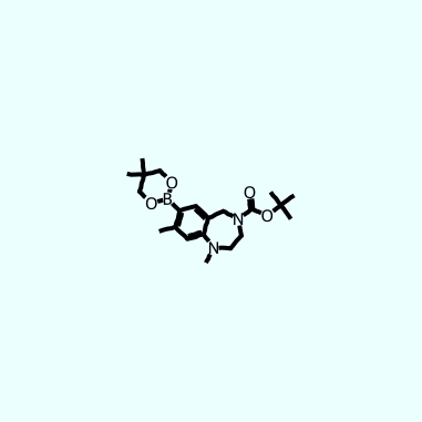 Cc1cc2c(cc1B1OCC(C)(C)CO1)CN(C(=O)OC(C)(C)C)CCN2C